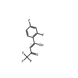 O=C(/C=C(\O)c1ccc(F)cc1F)C(F)(F)F